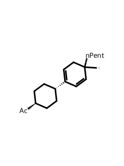 [CH2]C1(CCCCC)C=CC([C@H]2CC[C@H](C(C)=O)CC2)=CC1